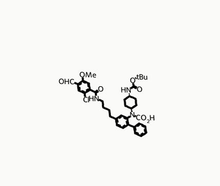 COc1cc(C(=O)NCCCCc2ccc(-c3ccccc3)c(N(C(=O)O)[C@H]3CC[C@H](NC(=O)OC(C)(C)C)CC3)c2)c(Cl)cc1C=O